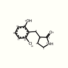 O=C1NCCC1Cc1c(O)cccc1Cl